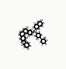 c1ccc(-c2ccc(N(c3ccc4ccccc4c3)c3ccc4c(ccc5ccc6cc7sc8ccccc8c7cc6c54)c3)cc2)cc1